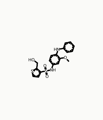 COc1cc(NS(=O)(=O)c2ccsc2CO)ccc1Nc1ccccc1